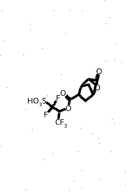 O=C(OC(C(F)(F)F)C(F)(F)S(=O)(=O)O)C1CC23CC(C(=O)O2)C1C3